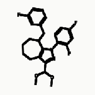 COC(OC)c1nn(-c2ccc(F)cc2F)c2c1CCCCC2Cc1cccc(F)c1